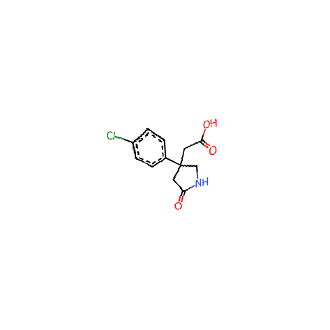 O=C(O)CC1(c2ccc(Cl)cc2)CNC(=O)C1